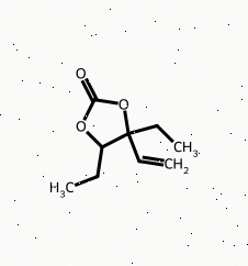 C=CC1(CC)OC(=O)OC1CC